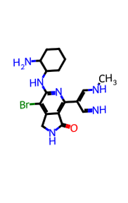 CN/C=C(\C=N)c1nc(NC2CCCCC2N)c(Br)c2c1C(=O)NC2